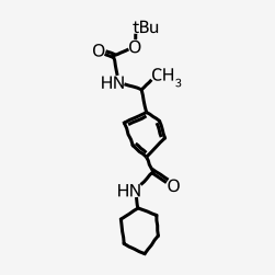 CC(NC(=O)OC(C)(C)C)c1ccc(C(=O)NC2CCCCC2)cc1